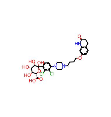 O=C1CCc2ccc(OCCCCN3CCN(c4ccc([C@]5(O)O[C@H](C(=O)O)[C@@H](O)[C@H](O)[C@H]5O)c(Cl)c4Cl)CC3)cc2N1